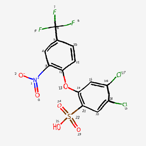 O=[N+]([O-])c1cc(C(F)(F)F)ccc1Oc1cc(Cl)c(Cl)cc1S(=O)(=O)O